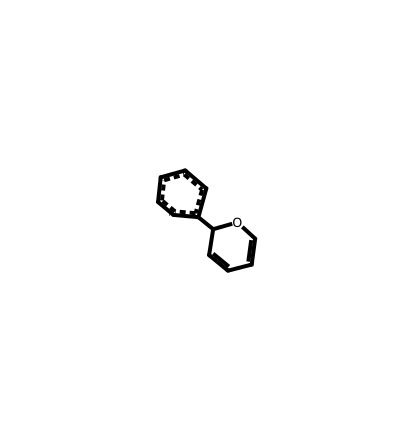 [c]1ccccc1C1C=CC=CO1